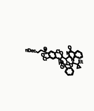 CCCCCCCCCCCCS(=O)(=O)c1cc(Cl)c(NC(=O)C(OS(=O)(=O)c2ccccc2)c2nc(=O)c3ccccc3n2C(=O)C2(CC)CC2)cc1Cl